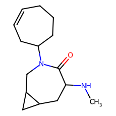 CNC1CC2CC2CN(C2CC=CCCC2)C1=O